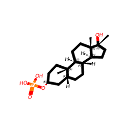 C[C@]12CC[C@@H](OP(=O)(O)O)C[C@H]1CC[C@@H]1[C@@H]2CC[C@@]2(C)[C@H]1CC[C@@]2(C)O